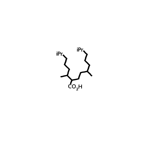 CC(C)CCCC(C)CCC(C(=O)O)C(C)CCCC(C)C